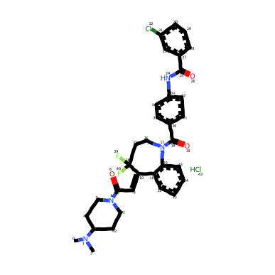 CN(C)C1CCN(C(=O)C=C2c3ccccc3N(C(=O)c3ccc(NC(=O)c4cccc(Cl)c4)cc3)CCC2(F)F)CC1.Cl